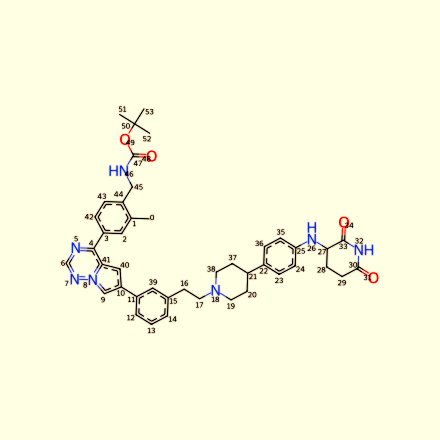 Cc1cc(-c2ncnn3cc(-c4cccc(CCN5CCC(c6ccc(NC7CCC(=O)NC7=O)cc6)CC5)c4)cc23)ccc1CNC(=O)OC(C)(C)C